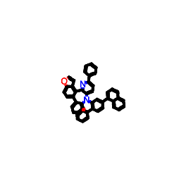 c1ccc(-c2ccc3c(n2)-c2c(ccc4occc24)-c2ccccc2N3c2cc(-c3cccc4ccccc34)ccc2-c2ccccc2)cc1